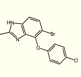 Cc1nc2c(Oc3ccc(Cl)cc3)c(Br)ccc2[nH]1